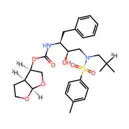 [2H]C(C)(C)CN(C[C@@H](O)[C@H](Cc1ccccc1)NC(=O)O[C@@]1([2H])CO[C@H]2OCC[C@]21[2H])S(=O)(=O)c1ccc(C)cc1